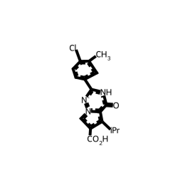 Cc1cc(-c2nn3cc(C(=O)O)c(C(C)C)c3c(=O)[nH]2)ccc1Cl